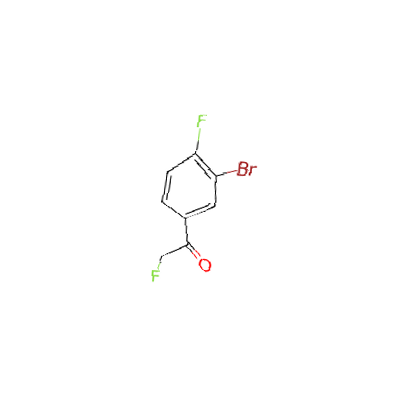 O=C(CF)c1ccc(F)c(Br)c1